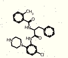 Cc1ccccc1C(=O)NC(Cc1ccccc1)C(=O)Nc1cc(Cl)ccc1N1CCNCC1